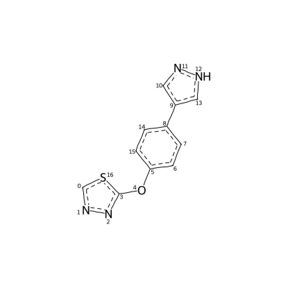 c1nnc(Oc2ccc(-c3cn[nH]c3)cc2)s1